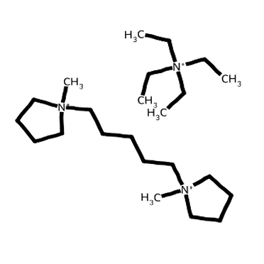 CC[N+](CC)(CC)CC.C[N+]1(CCCCC[N+]2(C)CCCC2)CCCC1